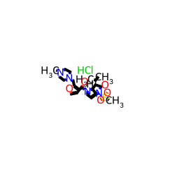 CC(C)[C@H]1C(=O)N(S(C)(=O)=O)C2=CCN(C(=O)c3ccoc3CN3CCN(C)CC3)[C@@H]21.Cl